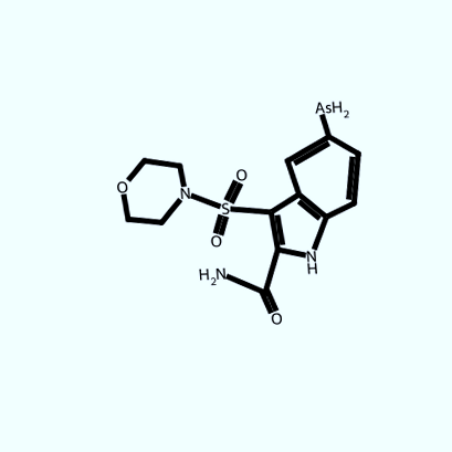 NC(=O)c1[nH]c2ccc([AsH2])cc2c1S(=O)(=O)N1CCOCC1